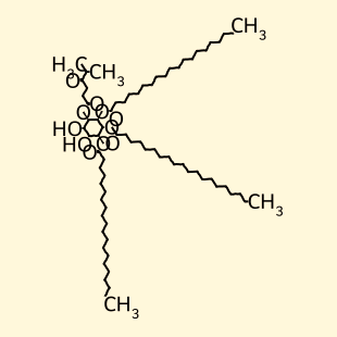 CCCCCCCCCCCCCCCCCCCC(=O)O[C@H]1[C@H](OC(=O)CCCCCCCCCCCCCCCCCCC)[C@@H](OC(=O)CCCCCCCCCCCCCCCCCCC)[C@H](O)[C@@H](O)[C@H]1OC(=O)CCC(=O)C(C)C